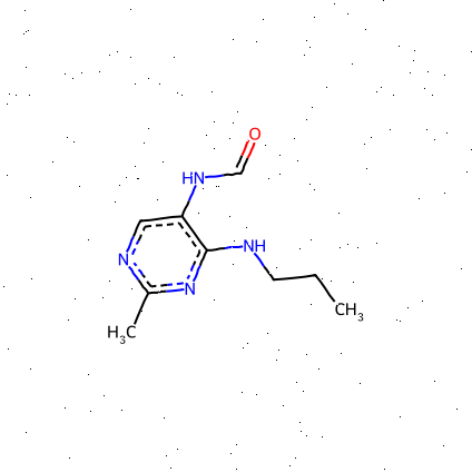 CCCNc1nc(C)ncc1NC=O